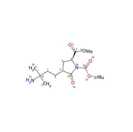 COC(=O)[C@@H]1CC(CCC(C)(C)N)C(=O)N1C(=O)OC(C)(C)C